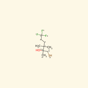 CC(C)(CCC(F)(F)F)C(C)(O)CS